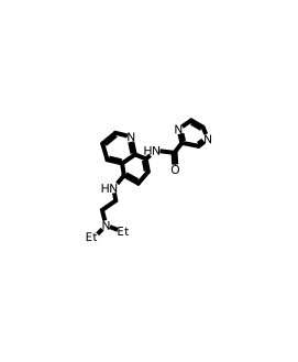 CCN(CC)CCNc1ccc(NC(=O)c2cnccn2)c2ncccc12